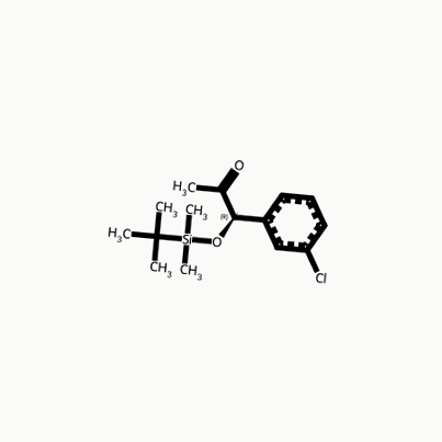 CC(=O)[C@H](O[Si](C)(C)C(C)(C)C)c1cccc(Cl)c1